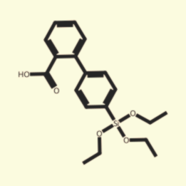 CCO[Si](OCC)(OCC)c1ccc(-c2ccccc2C(=O)O)cc1